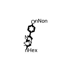 CCCCCCCCCOc1ccc(-c2cn3cc(CCCCCC)sc3n2)cc1